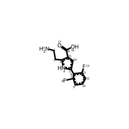 NCCc1[nH]c(-c2c(F)cccc2F)cc1C(=O)O